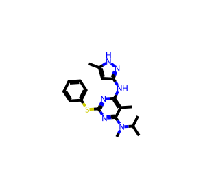 Cc1cc(Nc2nc(Sc3ccccc3)nc(N(C)C(C)C)c2C)n[nH]1